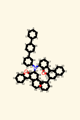 c1ccc(-c2ccc(-c3cccc(N(c4cccc5c4oc4c(-c6ccccc6)cc6ccccc6c45)c4cc5ccccc5c5c4oc4ccccc45)c3)cc2)cc1